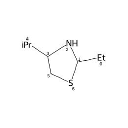 CCC1NC(C(C)C)CS1